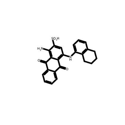 Nc1c(S(=O)(=O)O)cc(Nc2cccc3c2CCCC3)c2c1C(=O)c1ccccc1C2=O